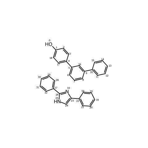 Oc1ccc(-c2cccc(-c3ccccc3)c2)cc1.c1ccc(-c2c[nH]c(-c3ccccc3)n2)cc1